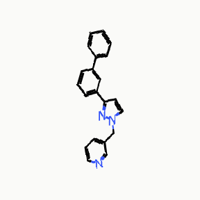 c1ccc(-c2cccc(-c3ccn(Cc4cccnc4)n3)c2)cc1